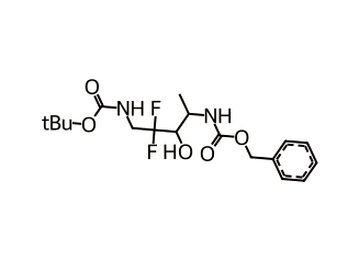 CC(NC(=O)OCc1ccccc1)C(O)C(F)(F)CNC(=O)OC(C)(C)C